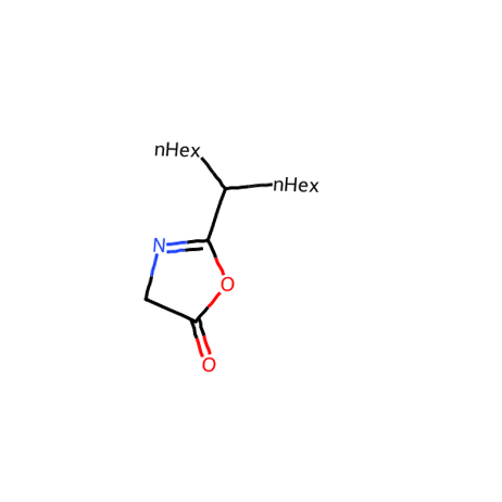 CCCCCCC(CCCCCC)C1=NCC(=O)O1